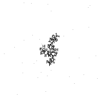 O=S(=O)(C1CC1)n1cc(-c2nccc(Nc3cc(NC4CCC(O)(C(F)F)CC4)c(-c4ccn(C(F)F)n4)cn3)n2)cn1